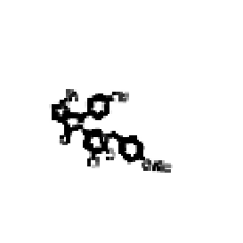 COc1ccc(Cn2cc(N3C(=O)c4ccn(C(C)C)c4C3c3ccc(C#N)cc3)cc(Cl)c2=O)cc1